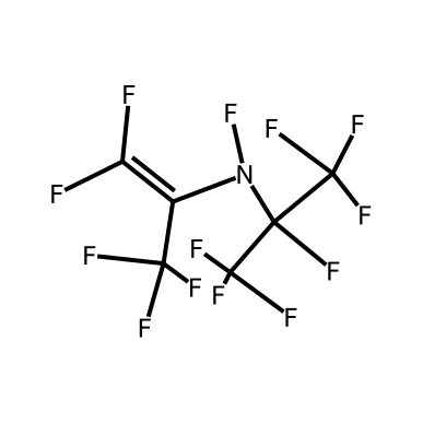 FC(F)=C(N(F)C(F)(C(F)(F)F)C(F)(F)F)C(F)(F)F